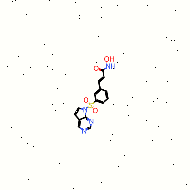 O=C(C=Cc1cccc(S(=O)(=O)n2ccc3cncnc32)c1)NO